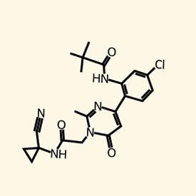 Cc1nc(-c2ccc(Cl)cc2NC(=O)C(C)(C)C)cc(=O)n1CC(=O)NC1(C#N)CC1